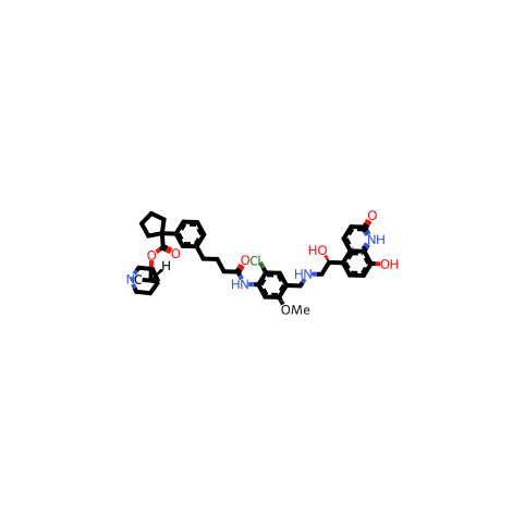 COc1cc(NC(=O)CCCc2cccc(C3(C(=O)O[C@H]4CN5CCC4CC5)CCCC3)c2)c(Cl)cc1CNC[C@@H](O)c1ccc(O)c2[nH]c(=O)ccc12